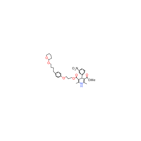 COC(=O)C1=C(C)NC(C)=C(C(=O)OCCCOc2ccc(CCCCOC3CCCCO3)cc2)C1c1cccc([N+](=O)[O-])c1